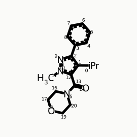 CC(C)c1c(-c2ccccc2)nn(C)c1C(=O)N1CCOCC1